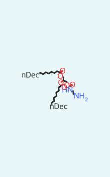 CCCCCCCCCCCCCCCCCC(=O)OCC(COC(=O)NCCN)OC(=O)CCCCCCCCCCCCCCCCC